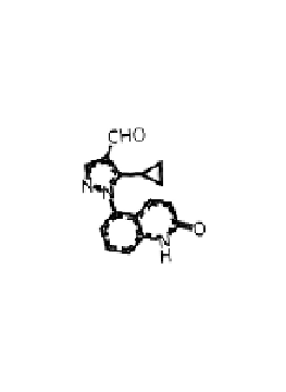 O=Cc1cnn(-c2cccc3[nH]c(=O)ccc23)c1C1CC1